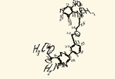 COC(=O)c1nc(-c2cccc(COCCN(C)c3ccncc3[N+](=O)[O-])c2)cnc1N